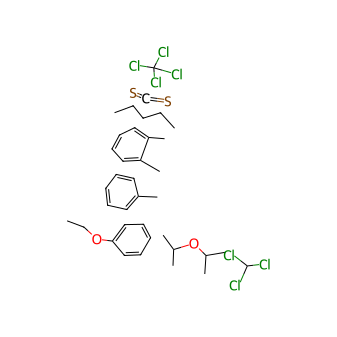 CC(C)OC(C)C.CCCCC.CCOc1ccccc1.Cc1ccccc1.Cc1ccccc1C.ClC(Cl)(Cl)Cl.ClC(Cl)Cl.S=C=S